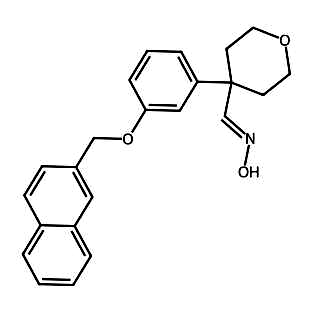 ON=CC1(c2cccc(OCc3ccc4ccccc4c3)c2)CCOCC1